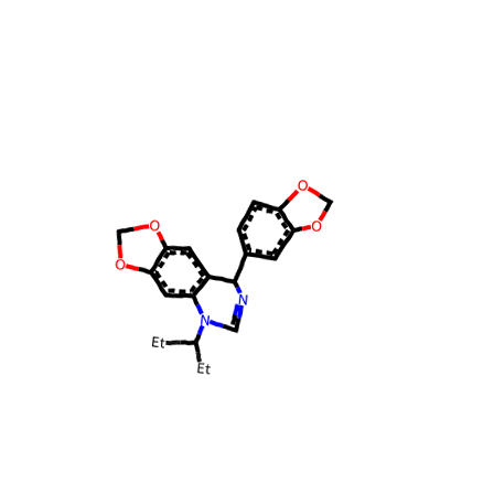 CCC(CC)N1C=NC(c2ccc3c(c2)OCO3)c2cc3c(cc21)OCO3